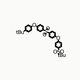 CC(C)(C)c1ccc(Oc2ccc(S(=O)(=O)c3ccc(Oc4ccc(S(=O)(=O)C(C)(C)C)cc4)cc3)cc2)cc1